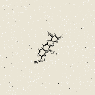 CC(C)Nc1ncc2cc(Oc3ccc(F)cc3F)c(=O)n(C)c2n1